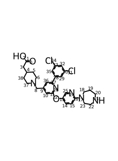 O=C(O)CC1CCN(Cc2cc(Oc3ccc(N4CCCNCC4)nc3)nc(-c3cc(Cl)cc(Cl)c3)c2)CC1